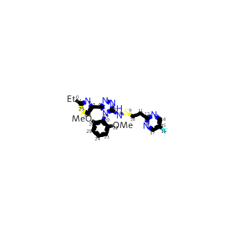 CCc1nc(-c2nnc(NSCCc3ncc(F)cn3)n2-c2c(OC)cccc2OC)cs1